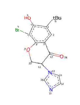 CC(C)(C)c1cc2c(c(Br)c1O)OCC(n1ccnc1)C2=O